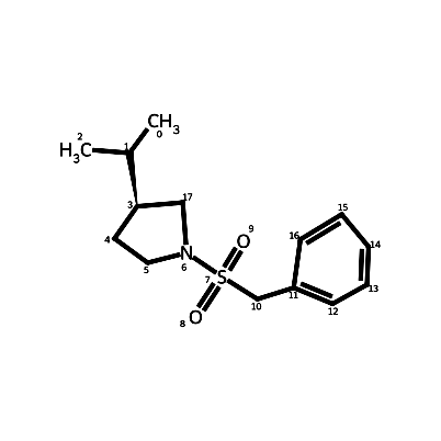 CC(C)[C@@H]1CCN(S(=O)(=O)Cc2ccccc2)C1